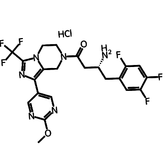 COc1ncc(-c2nc(C(F)(F)F)n3c2CN(C(=O)C[C@H](N)Cc2cc(F)c(F)cc2F)CC3)cn1.Cl